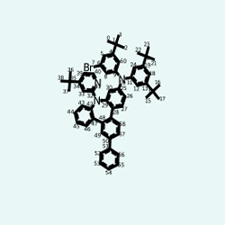 CC(C)(C)c1cc(Br)cc(N(c2cc(C(C)(C)C)cc(C(C)(C)C)c2)c2ccc3c(c2)N(c2cc(C(C)(C)C)ccn2)c2ccccc2-c2cc(-c4ccccc4)ccc2-3)c1